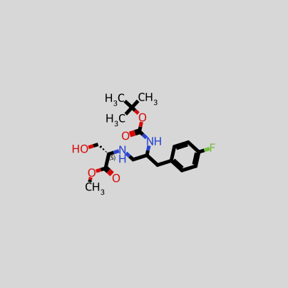 COC(=O)[C@H](CO)NCC(Cc1ccc(F)cc1)NC(=O)OC(C)(C)C